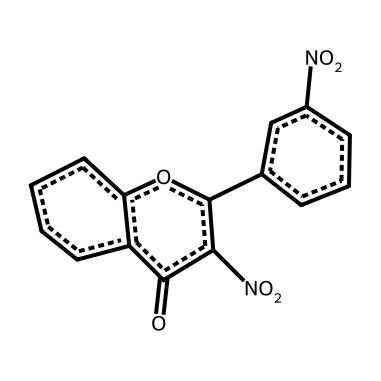 O=c1c([N+](=O)[O-])c(-c2cccc([N+](=O)[O-])c2)oc2ccccc12